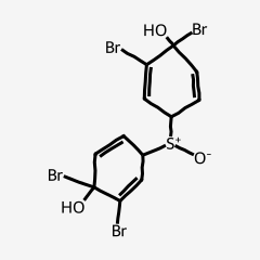 [O-][S+](C1C=CC(O)(Br)C(Br)=C1)C1C=CC(O)(Br)C(Br)=C1